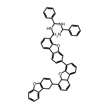 NC(NC(NCc1cccc2c1oc1cc(-c3cccc4c3OC3C(C5C=Cc6oc7ccccc7c6C5)=CC=CC43)ccc12)c1ccccc1)c1ccccc1